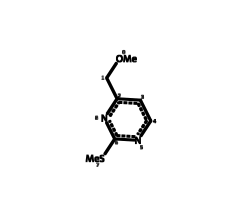 COCc1ccnc(SC)n1